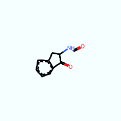 O=CNC1Cc2ccccc2C1=O